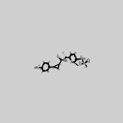 Cc1nc([C@@H](C)NC(=O)C2CC2c2ccc(C(C)(C)C)cc2)ccc1NS(C)(=O)=O